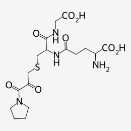 NC(CCC(=O)NC(CSCC(=O)C(=O)N1CCCC1)C(=O)NCC(=O)O)C(=O)O